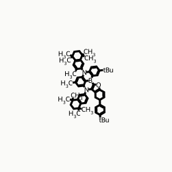 Cc1cc2c3c(c1)N(c1ccc4c(c1)C(C)(C)CCC4(C)C)c1c(oc4c1CC(c1ccc(C(C)(C)C)cc1)C=C4)B3c1cc(C(C)(C)C)ccc1N2c1cc2c(cc1C)C(C)(C)CCC2(C)C